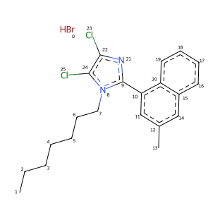 Br.CCCCCCCn1c(-c2cc(C)cc3ccccc23)nc(Cl)c1Cl